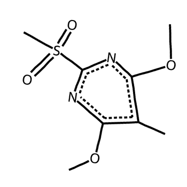 COc1nc(S(C)(=O)=O)nc(OC)c1C